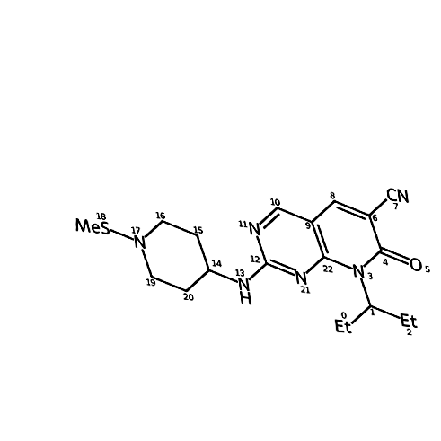 CCC(CC)n1c(=O)c(C#N)cc2cnc(NC3CCN(SC)CC3)nc21